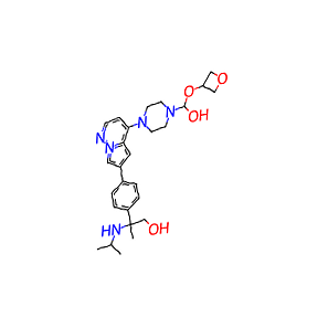 CC(C)NC(C)(CO)c1ccc(-c2cc3c(N4CCN(C(O)OC5COC5)CC4)ccnn3c2)cc1